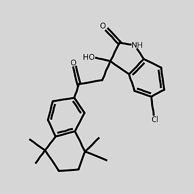 CC1(C)CCC(C)(C)c2cc(C(=O)CC3(O)C(=O)Nc4ccc(Cl)cc43)ccc21